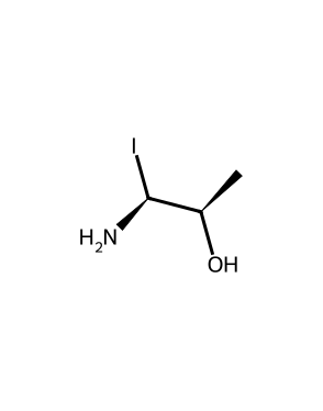 C[C@@H](O)[C@@H](N)I